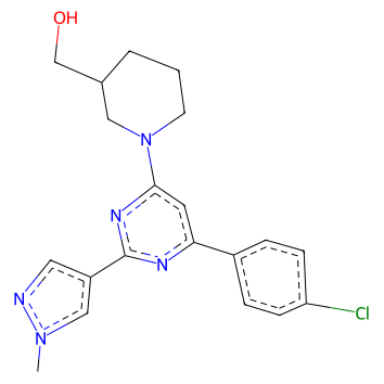 Cn1cc(-c2nc(-c3ccc(Cl)cc3)cc(N3CCCC(CO)C3)n2)cn1